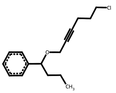 CCCC(OCC#CCCCCl)c1ccccc1